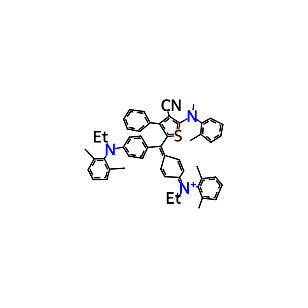 CCN(c1ccc(C(=C2C=CC(=[N+](CC)c3c(C)cccc3C)C=C2)c2sc(N(C)c3ccccc3C)c(C#N)c2-c2ccccc2)cc1)c1c(C)cccc1C